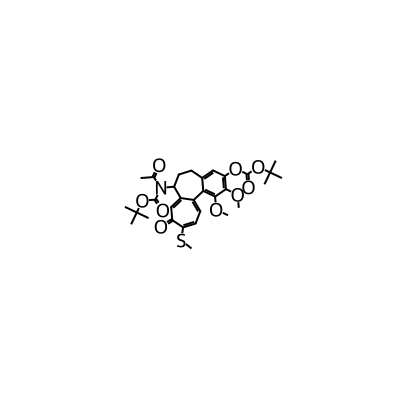 COc1c(OC(=O)OC(C)(C)C)cc2c(c1OC)-c1ccc(SC)c(=O)cc1C(N(C(C)=O)C(=O)OC(C)(C)C)CC2